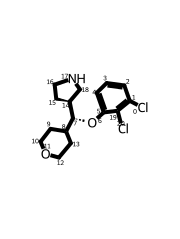 Clc1cccc(O[C@H](C2CCOCC2)[C@H]2CCNC2)c1Cl